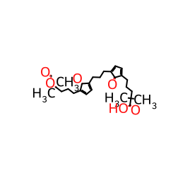 CC(C)(CCCC1=CC=C(CCCC2=CC=C(CCCC(C)(C)C(=O)O)C2=O)C1=O)OC=O